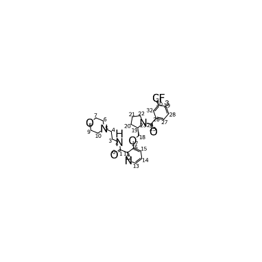 O=C(NCCN1CCOCC1)c1ncccc1OC[C@H]1CCCN1C(=O)c1cccc(C(F)(F)F)c1